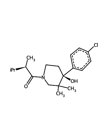 CC(C)[C@@H](C)C(=O)N1CC[C@](O)(c2ccc(Cl)cc2)C(C)(C)C1